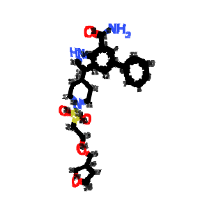 NC(=O)c1cc(-c2ccccc2)cc2c(C3CCN(S(=O)(=O)CCOCC4CCOC4)CC3)c[nH]c12